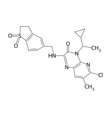 Cc1cc2nc(NCc3ccc4c(c3)CCS4(=O)=O)c(=O)n(C(C)C3CC3)c2nc1Cl